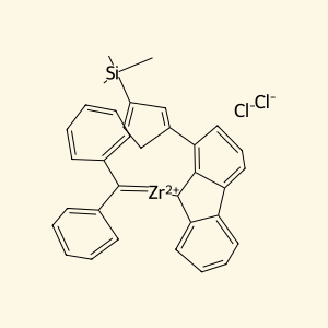 C[Si](C)(C)C1=CCC(c2cccc3c2[CH]([Zr+2]=[C](c2ccccc2)c2ccccc2)c2ccccc2-3)=C1.[Cl-].[Cl-]